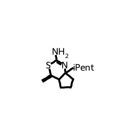 C=C1SC(N)=NC2(C(C)CCC)CCCC12